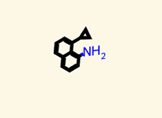 Nc1cccc2cccc(C3CC3)c12